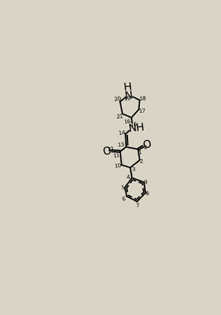 O=C1CC(c2ccccc2)CC(=O)C1=CNC1CCNCC1